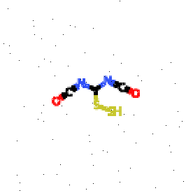 O=C=NC(N=C=O)SS